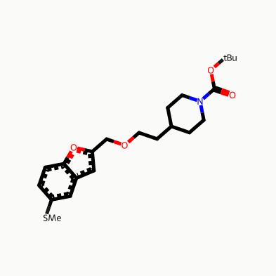 CSc1ccc2oc(COCCC3CCN(C(=O)OC(C)(C)C)CC3)cc2c1